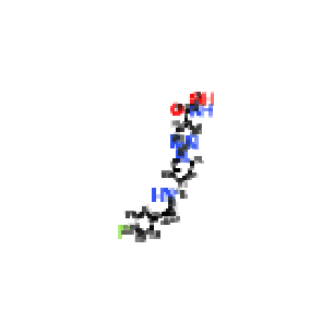 O=C(NO)c1cnc(N2CCC(CN[C@@H]3C[C@H]3c3ccc(F)cc3)CC2)nc1